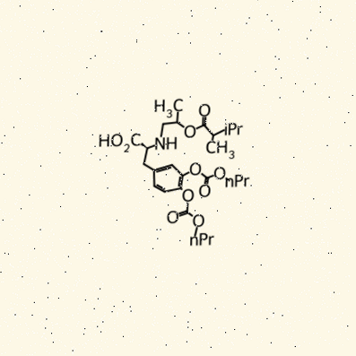 CCCOC(=O)Oc1ccc(C[C@H](NCC(C)OC(=O)C(C)C(C)C)C(=O)O)cc1OC(=O)OCCC